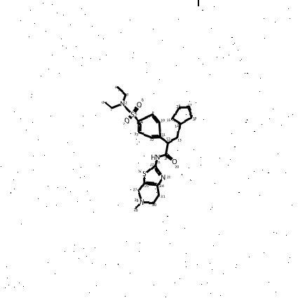 CCN(CC)S(=O)(=O)c1ccc(C(CC2CCCC2)C(=O)Nc2nc3c(s2)CN(C)CC3)cc1